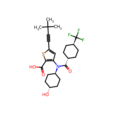 CC(C)(C)C#Cc1cc(N(C(=O)[C@H]2CC[C@H](C(F)(F)F)CC2)[C@H]2CC[C@H](O)CC2)c(C(=O)O)s1